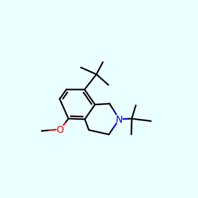 COc1ccc(C(C)(C)C)c2c1CCN(C(C)(C)C)C2